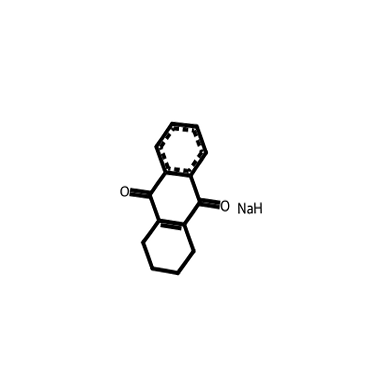 O=C1C2=C(CCCC2)C(=O)c2ccccc21.[NaH]